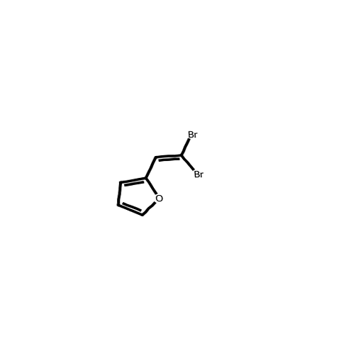 BrC(Br)=Cc1ccco1